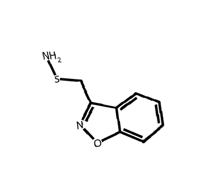 NSCc1noc2ccccc12